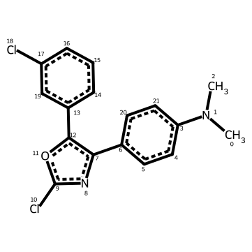 CN(C)c1ccc(-c2nc(Cl)oc2-c2cccc(Cl)c2)cc1